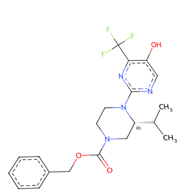 CC(C)[C@@H]1CN(C(=O)OCc2ccccc2)CCN1c1ncc(O)c(C(F)(F)F)n1